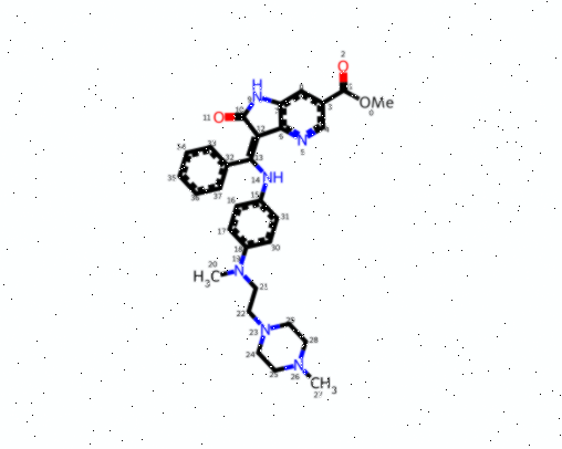 COC(=O)c1cnc2c(c1)NC(=O)/C2=C(/Nc1ccc(N(C)CCN2CCN(C)CC2)cc1)c1ccccc1